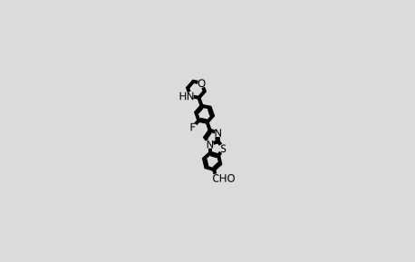 O=Cc1ccc2c(c1)sc1nc(-c3ccc(C4COCCN4)cc3F)cn12